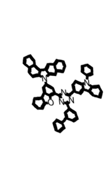 c1ccc(-c2cccc(-c3nc(-c4ccc5c(c4)c4ccccc4n5-c4ccccc4)nc(-c4cc(-n5c6cc7ccccc7cc6c6c7ccccc7ccc65)cc5c4oc4ccccc45)n3)c2)cc1